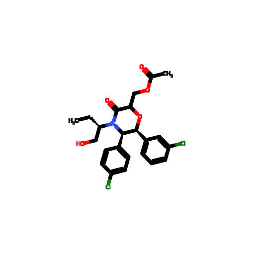 CC[C@@H](CO)N1C(=O)C(COC(C)=O)O[C@@H](c2cccc(Cl)c2)[C@H]1c1ccc(Cl)cc1